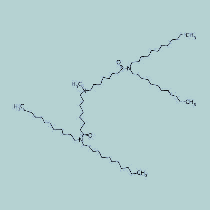 CCCCCCCCCCCCN(CCCCCCCCCCCC)C(=O)CCCCCCCN(C)CCCCCCCC(=O)N(CCCCCCCCCCCC)CCCCCCCCCCCC